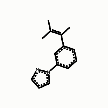 CC(C)=C(C)c1cccc(-n2cccn2)c1